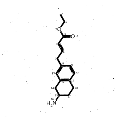 CCOC(=O)C=CCc1ccc2c(c1)CC(N)CC2